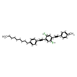 CCCCCCCCCc1ccc(C#Cc2cc(F)c(C#Cc3ccc(C)cc3)cc2F)cc1